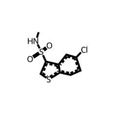 CNS(=O)(=O)c1csc2ccc(Cl)cc12